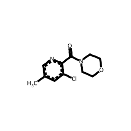 Cc1cnc(C(=O)N2CCOCC2)c(Cl)c1